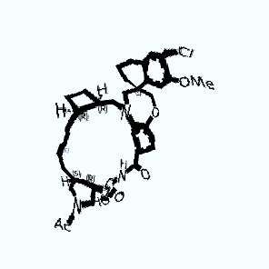 COc1cc2c(cc1Cl)CCC[C@]21COc2ccc3cc2N(C[C@@H]2CC[C@@H]2C/C=C/C[C@H]2CN(C(C)=O)C[C@@H]2S(=O)(=O)NC3=O)C1